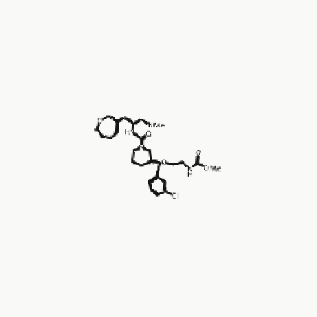 CNCC(CC1CCCCOC1)NC(=O)N1CCCC(C(OCCNC(=O)OC)c2cccc(Cl)c2)C1